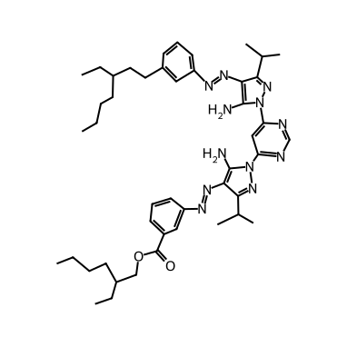 CCCCC(CC)CCc1cccc(/N=N/c2c(C(C)C)nn(-c3cc(-n4nc(C(C)C)c(/N=N/c5cccc(C(=O)OCC(CC)CCCC)c5)c4N)ncn3)c2N)c1